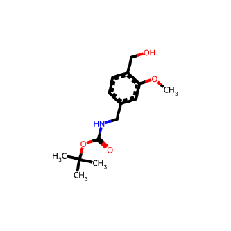 COc1cc(CNC(=O)OC(C)(C)C)ccc1CO